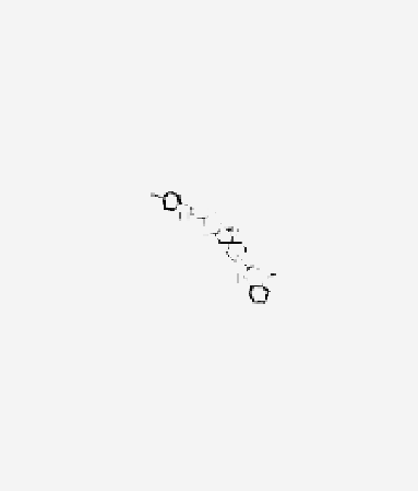 CSc1ccccc1NC(=S)N1CCC2(CC1)CC(OC(=O)NCc1ccc(Cl)cc1)=NO2